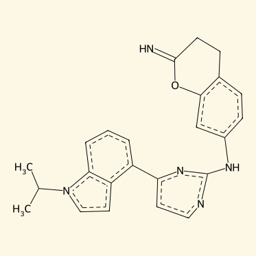 CC(C)n1ccc2c(-c3ccnc(Nc4ccc5c(c4)OC(=N)CC5)n3)cccc21